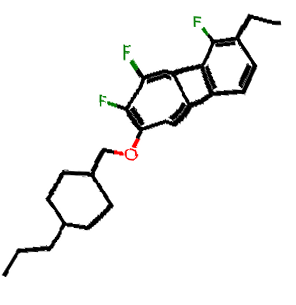 CCCC1CCC(COc2cc3c(c(F)c2F)-c2c-3ccc(CC)c2F)CC1